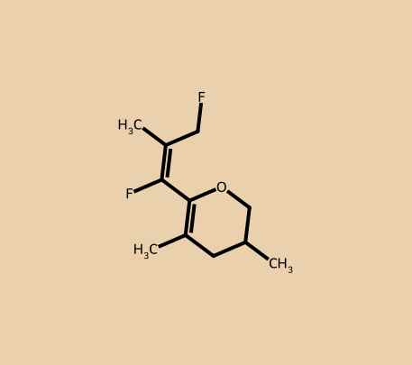 CC1=C(/C(F)=C(/C)CF)OCC(C)C1